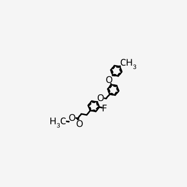 CCOC(=O)CCc1ccc(OCc2cccc(Oc3ccc(C)cc3)c2)c(F)c1